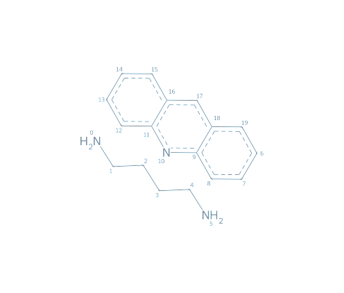 NCCCCN.c1ccc2nc3ccccc3cc2c1